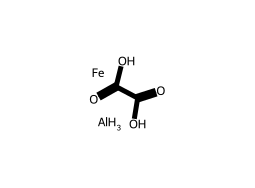 O=C(O)C(=O)O.[AlH3].[Fe]